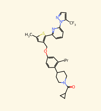 Cc1cc(COc2ccc(C3CCN(C(=O)C4CC4)CC3)c(C(C)C)c2)c(-c2cccc(-n3nccc3C(F)(F)F)n2)s1